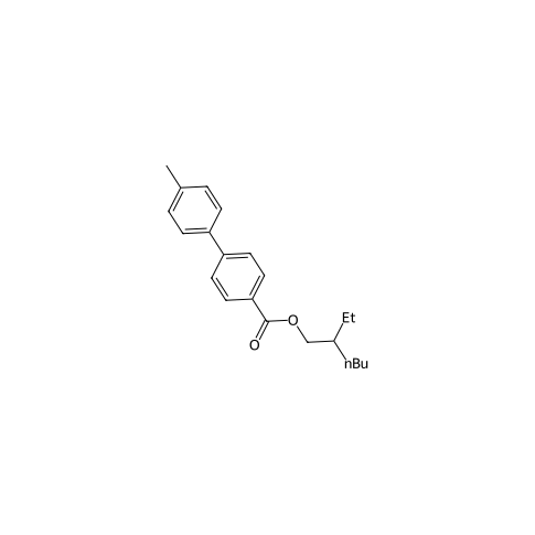 CCCCC(CC)COC(=O)c1ccc(-c2ccc(C)cc2)cc1